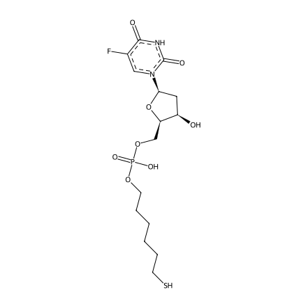 O=c1[nH]c(=O)n([C@H]2C[C@@H](O)[C@@H](COP(=O)(O)OCCCCCCS)O2)cc1F